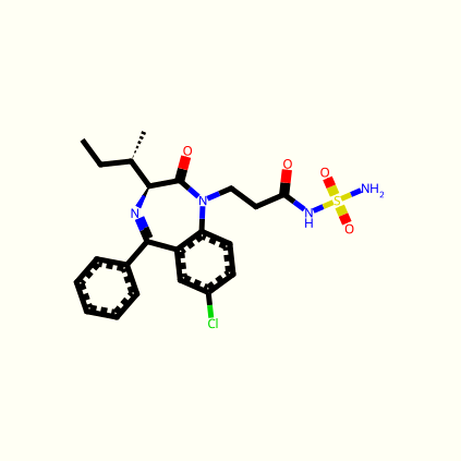 CC[C@H](C)[C@@H]1N=C(c2ccccc2)c2cc(Cl)ccc2N(CCC(=O)NS(N)(=O)=O)C1=O